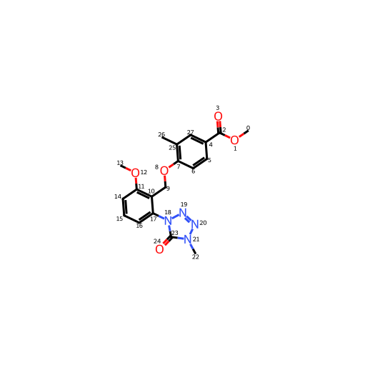 COC(=O)c1ccc(OCc2c(OC)cccc2-n2nnn(C)c2=O)c(C)c1